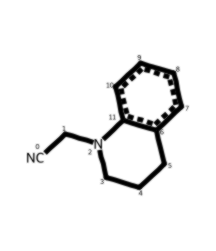 N#CCN1CCCc2ccccc21